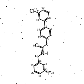 O=C(Cc1ccc(-c2cccc(Cl)c2)cc1)NCc1cccc(F)c1